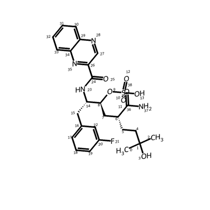 CC(C)(O)CC[C@H](C[C@H](OS(=O)(=O)O)[C@H](Cc1cccc(F)c1)NC(=O)c1cnc2ccccc2n1)C(N)=O